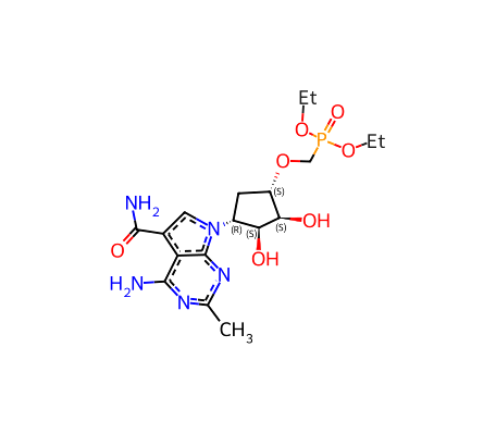 CCOP(=O)(CO[C@H]1C[C@@H](n2cc(C(N)=O)c3c(N)nc(C)nc32)[C@H](O)[C@@H]1O)OCC